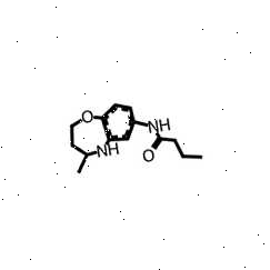 CCCC(=O)Nc1ccc2c(c1)NC(C)CCO2